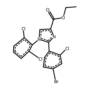 CCOC(=O)c1cn(-c2c(Cl)cccc2Cl)c(-c2ccc(Br)cc2Cl)n1